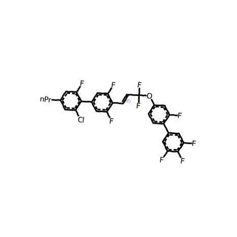 CCCc1cc(F)c(-c2cc(F)c(/C=C/C(F)(F)Oc3ccc(-c4cc(F)c(F)c(F)c4)c(F)c3)c(F)c2)c(Cl)c1